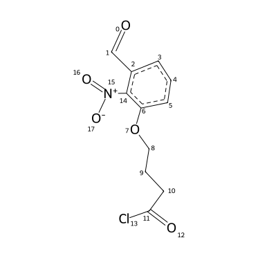 O=Cc1cccc(OCCCC(=O)Cl)c1[N+](=O)[O-]